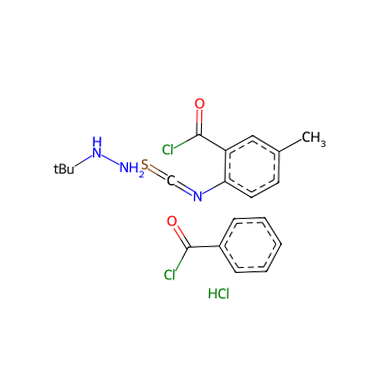 CC(C)(C)NN.Cc1ccc(N=C=S)c(C(=O)Cl)c1.Cl.O=C(Cl)c1ccccc1